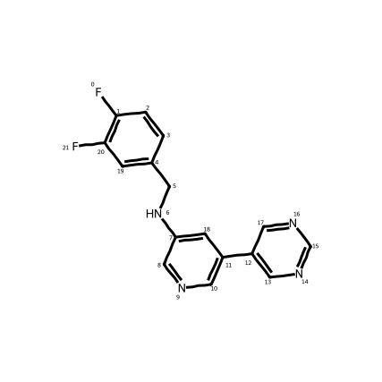 Fc1ccc(CNc2cncc(-c3cncnc3)c2)cc1F